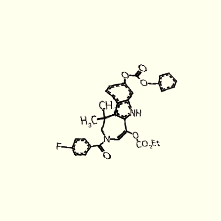 CCOC(=O)OC1=CN(C(=O)c2ccc(F)cc2)CC(C)(C)c2c1[nH]c1cc(OC(=O)Oc3ccccc3)ccc21